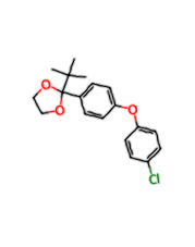 CC(C)(C)C1(c2ccc(Oc3ccc(Cl)cc3)cc2)OCCO1